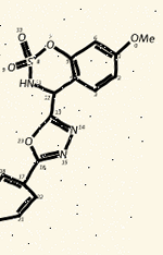 COc1ccc2c(c1)OS(=O)(=O)NC2c1nnc(-c2ccccc2)o1